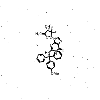 C=C1O[C@@H](n2cnc3c(=O)[nH]c(NC(c4ccccc4)(c4ccccc4)c4ccc(OC)cc4)nc32)C(F)(F)[C@@H]1O